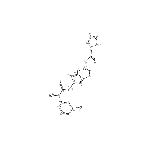 CC(C(=O)Nc1nc2ccc(NC(=O)c3cscn3)cc2s1)c1cccc(Cl)c1